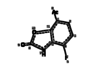 CC(=O)c1ccc(F)c2[nH]c(=O)oc12